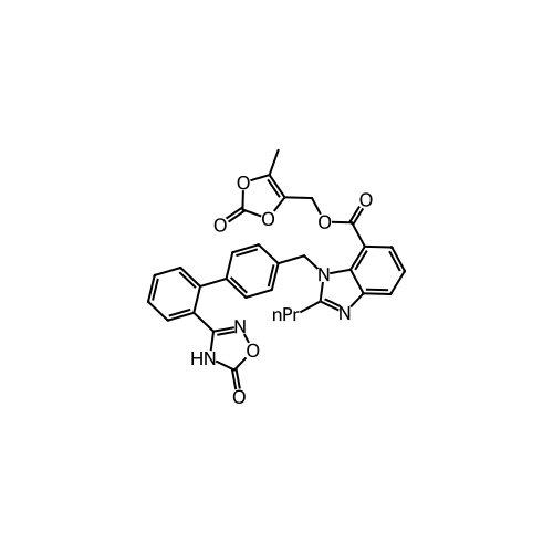 CCCc1nc2cccc(C(=O)OCc3oc(=O)oc3C)c2n1Cc1ccc(-c2ccccc2-c2noc(=O)[nH]2)cc1